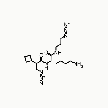 [N-]=[N+]=NCCCNC(=O)[C@H](CCCCN)NC(=O)C(CN=[N+]=[N-])C1CCC1